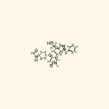 CC(=O)N[C@H]1CC[C@H](Oc2cc(=O)n(C)cc2-c2cc(C(C)(C)O)c3cnn(Cc4ccccc4)c3c2)CC1